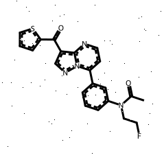 CC(=O)N(CCF)c1cccc(-c2ccnc3c(C(=O)c4cccs4)cnn23)c1